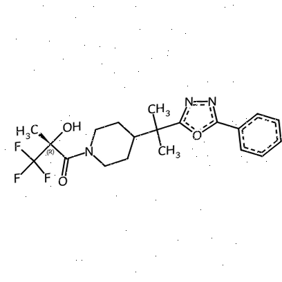 CC(C)(c1nnc(-c2ccccc2)o1)C1CCN(C(=O)[C@@](C)(O)C(F)(F)F)CC1